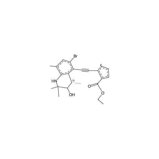 CCOC(=O)c1ccsc1C#Cc1c(Br)cc(C)c2c1[C@H](C)C(O)C(C)(C)N2